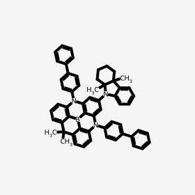 CC1(C)c2cccc3c2B2c4c(cc(N5c6ccccc6C6(C)CCCCC56C)cc4N(c4ccc(-c5ccccc5)cc4)c4cccc1c42)N3c1ccc(-c2ccccc2)cc1